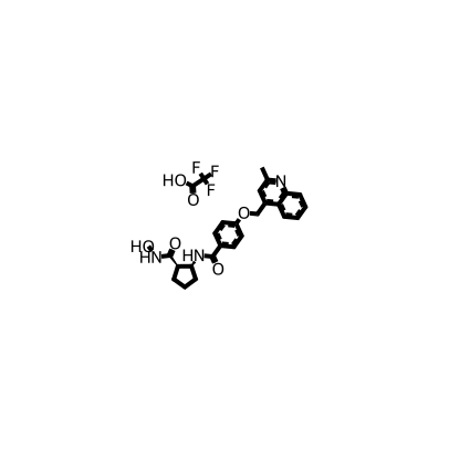 Cc1cc(COc2ccc(C(=O)N[C@H]3CCC[C@H]3C(=O)NO)cc2)c2ccccc2n1.O=C(O)C(F)(F)F